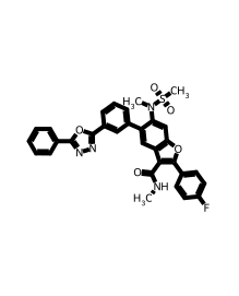 CNC(=O)c1c(-c2ccc(F)cc2)oc2cc(N(C)S(C)(=O)=O)c(-c3cccc(-c4nnc(-c5ccccc5)o4)c3)cc12